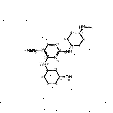 CN[C@H]1CC[C@H](Nc2ncc(C#N)c(N[C@@H]3CCC[C@H](O)C3)n2)CC1